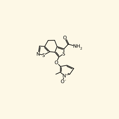 Cc1c(Oc2sc(C(N)=O)c3c2-c2sncc2CC3)ccc[n+]1[O-]